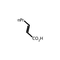 CC[CH]C=CC(=O)O